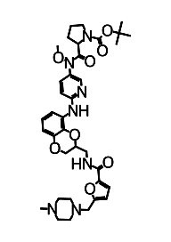 CON(C(=O)C1CCCN1C(=O)OC(C)(C)C)c1ccc(Nc2cccc3c2OC(CNC(=O)c2ccc(CN4CCN(C)CC4)o2)CO3)nc1